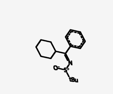 CC(C)(C)[S+]([O-])N=C(c1ccccc1)C1CCCCC1